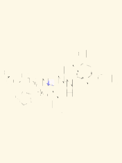 COC(=O)c1sccc1S(=O)(=O)/N=C(\N)NNc1nc(C)cc(C)n1